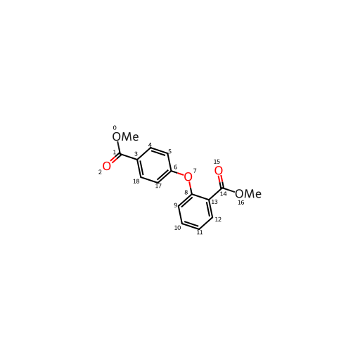 COC(=O)c1ccc(Oc2ccccc2C(=O)OC)cc1